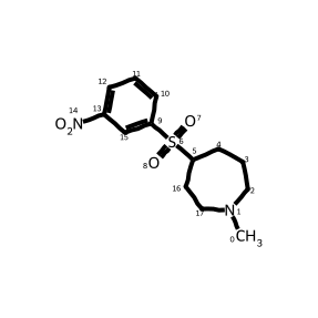 CN1CCCC(S(=O)(=O)c2[c]ccc([N+](=O)[O-])c2)CC1